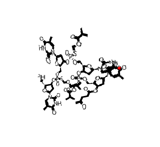 [2H]C[C@H]1O[C@@H](n2cc(C)c(=O)[nH]c2=O)CC1OP(=O)(OC[C@H]1O[C@@H](n2cc(C)c(=O)[nH]c2=O)CC1OP(=O)(OC[C@H]1O[C@@H](n2cc(C)c(=O)[nH]c2=O)CC1OP(=O)(OC[C@H]1O[C@@H](n2cc(C)c(=O)[nH]c2=O)CC1OC(=O)CCC(C)=O)SCOC(=O)C(C)C)SCOC(=O)C(C)C)SCOC(=O)C(C)C